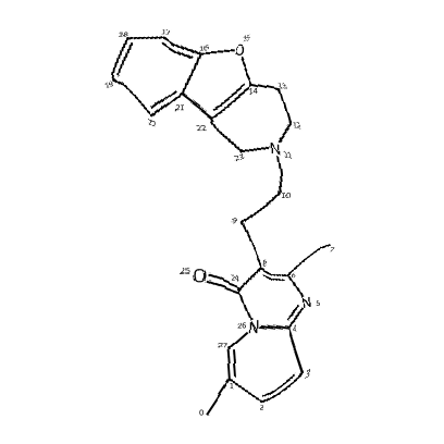 Cc1ccc2nc(C)c(CCN3CCc4oc5ccccc5c4C3)c(=O)n2c1